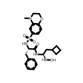 CN1CCOc2ccc(S(=O)(=O)N[C@@H](Cc3ccccc3)C(=O)N[C@H](BO)CC3CCC3)cc21